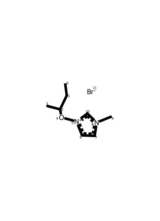 CCC(C)O[n+]1ccn(C)c1.[Br-]